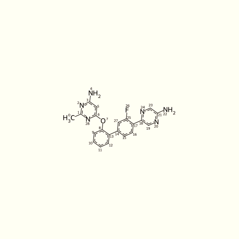 Cc1nc(N)cc(Oc2ccccc2-c2ccc(-c3cnc(N)cn3)c(F)c2)n1